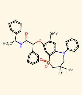 CCCCC1(CC)CN(c2ccccc2)c2cc(SC)c(OC(C(=O)N[C@@H](C(=O)O)c3ccccc3)c3ccccc3)cc2S(=O)(=O)C1